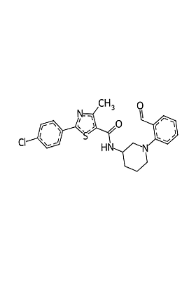 Cc1nc(-c2ccc(Cl)cc2)sc1C(=O)NC1CCCN(c2ccccc2C=O)C1